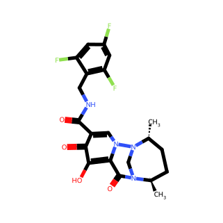 C[C@@H]1CC[C@@H](C)N2CN1C(=O)c1c(O)c(=O)c(C(=O)NCc3c(F)cc(F)cc3F)cn12